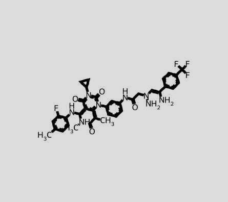 CN/C(Nc1ccc(C)cc1F)=c1/c(=O)n(C2CC2)c(=O)n(-c2cccc(NC(=O)CN(N)/C=C(\N)c3ccc(C(F)(F)F)cc3)c2)/c1=C(\C)C=O